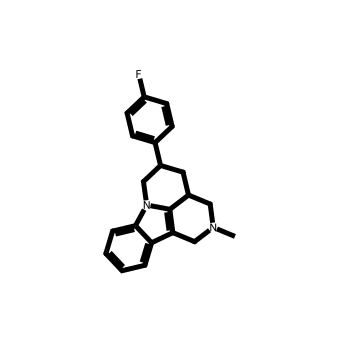 CN1Cc2c3n(c4ccccc24)CC(c2ccc(F)cc2)CC3C1